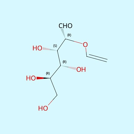 C=CO[C@@H](C=O)[C@@H](O)[C@H](O)[C@H](O)CO